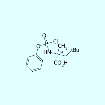 CC(C)(C)C[C@](C)(NP(=O)(Cl)Oc1ccccc1)C(=O)O